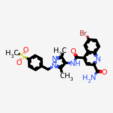 Cc1nn(Cc2ccc(S(C)(=O)=O)cc2)c(C)c1NC(=O)c1cc(C(N)=O)nc2ccc(Br)cc12